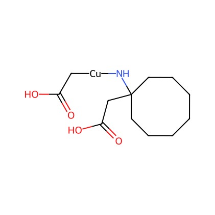 O=C(O)[CH2][Cu][NH]C1(CC(=O)O)CCCCCCC1